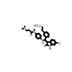 CN(C)CCC(=O)N(C)c1ccc(N/C(=C2\C(=O)Nc3cc(Cl)ccc32)c2cccc(CCC(=O)O)c2)cc1